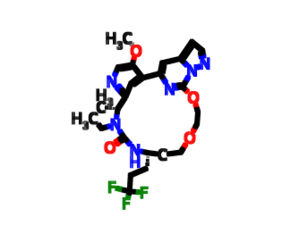 CCN1C(=O)N[C@@H](CCC(F)(F)F)CCOCCOc2nc(cc3ccnn23)-c2cc(ncc2OC)[C@H]1C